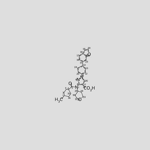 CC1CCC(C(=O)N(c2nn(-c3ccc(-c4ccc5ccoc5c4)cc3)cc2C(=O)O)C2CCOCC2)CC1